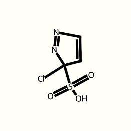 O=S(=O)(O)C1(Cl)C=CN=N1